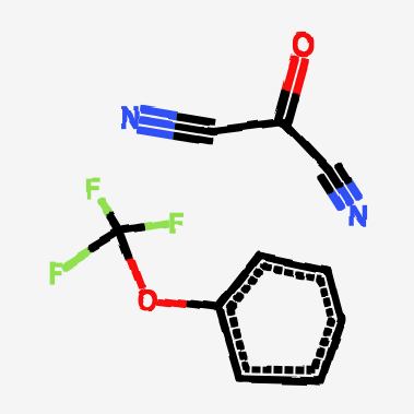 FC(F)(F)Oc1ccccc1.N#CC(=O)C#N